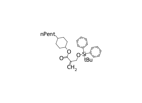 C=C(CO[Si](c1ccccc1)(c1ccccc1)C(C)(C)C)C(=O)OC1CCC(CCCCC)CC1